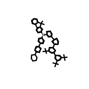 CC(C)(C)c1cc(-c2cccc(-c3cccc(N(c4ccc(-c5ccc(C6CCCCC6)cc5)cc4)c4ccc5c(c4)C(C)(C)c4ccccc4-5)c3)c2)cc(-c2cc(C(C)(C)C)cc(C(C)(C)C)c2)c1